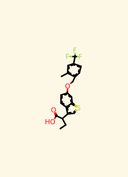 CCC(C(=O)O)c1csc2cc(OCc3ccc(C(F)(F)F)cc3C)ccc12